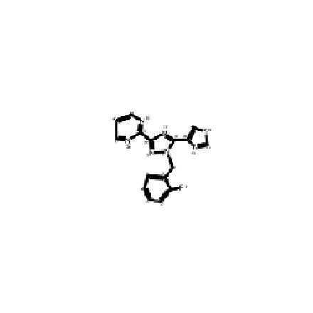 Fc1ccccc1Cn1nc(-c2ncccn2)nc1-c1cscn1